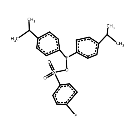 CC(C)c1ccc([I+](OS(=O)(=O)c2ccc(F)cc2)c2ccc(C(C)C)cc2)cc1